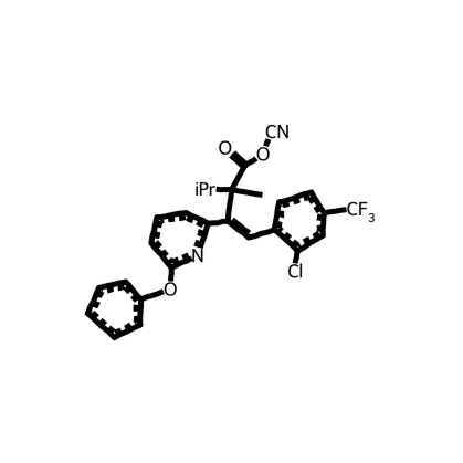 CC(C)C(C)(C(=O)OC#N)C(=Cc1ccc(C(F)(F)F)cc1Cl)c1cccc(Oc2ccccc2)n1